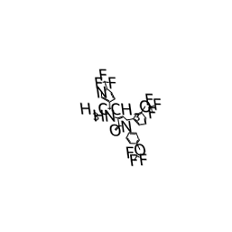 CC(C)(NC1=CC(c2cccc(OC(F)(F)F)c2)N(c2ccc(OC(F)(F)F)cc2)C1=O)c1ccc(C(F)(F)F)nc1